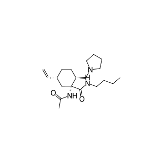 C=C[C@@H]1CC[C@@H](CN2CCCC2)[C@@](NC(C)=O)(C(=O)NCCCC)C1